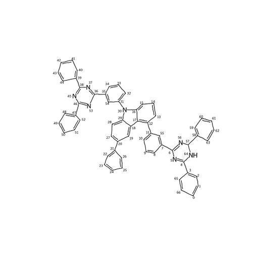 c1ccc(C2=NC(c3cccc(-c4cccc5c4c4cc(-c6ccccc6)ccc4n5-c4cccc(-c5nc(-c6ccccc6)nc(-c6ccccc6)n5)c4)c3)=NC(c3ccccc3)N2)cc1